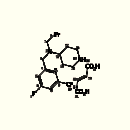 CC(C)CN(Cc1cc(F)cc(C(F)(F)F)c1)C1CCNCC1.O=C(O)/C=C/C(=O)O